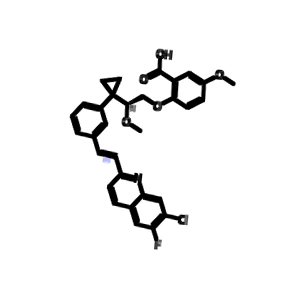 COc1ccc(OC[C@@H](OC)C2(c3cccc(/C=C/c4ccc5cc(F)c(Cl)cc5n4)c3)CC2)c(C(=O)O)c1